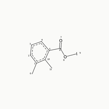 Cc1cccc(C(=O)OI)c1C